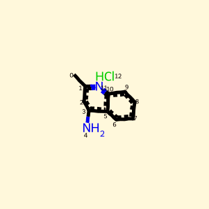 Cc1cc(N)c2ccccc2n1.Cl